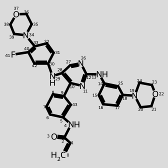 C=CC(=O)Nc1cccc(-c2nc(Nc3cccc(N4CCOCC4)c3)ncc2Nc2ccc(N3CCOCC3)c(F)c2)c1